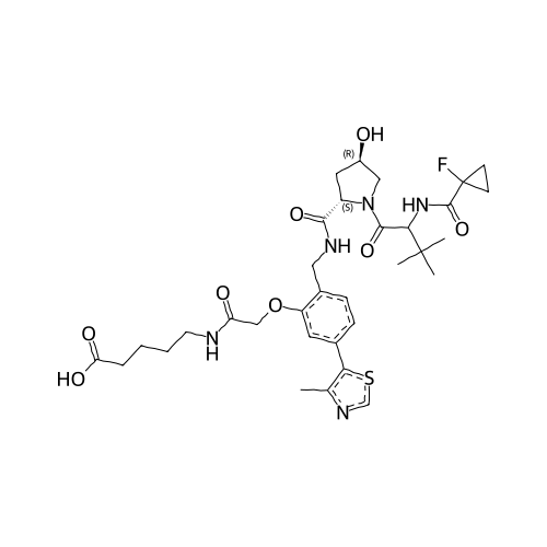 Cc1ncsc1-c1ccc(CNC(=O)[C@@H]2C[C@@H](O)CN2C(=O)C(NC(=O)C2(F)CC2)C(C)(C)C)c(OCC(=O)NCCCCC(=O)O)c1